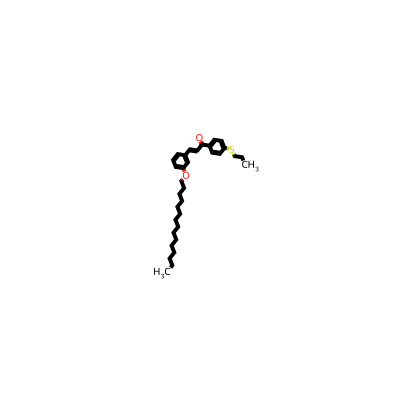 CCCCCCCCCCCCCCCOc1cccc(C=CC(=O)c2ccc(SCCC)cc2)c1